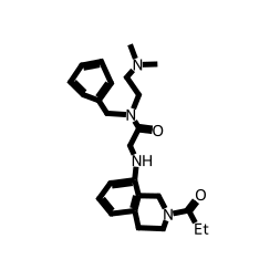 CCC(=O)N1CCc2cccc(NCC(=O)N(CCN(C)C)Cc3ccccc3)c2C1